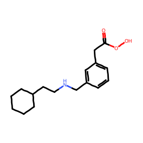 O=C(Cc1cccc(CNCCC2CCCCC2)c1)OO